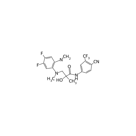 C=Nc1cc(F)c(F)cc1N(C)CC(C)(O)C(=O)Nc1ccc(C#N)c(C(F)(F)F)c1